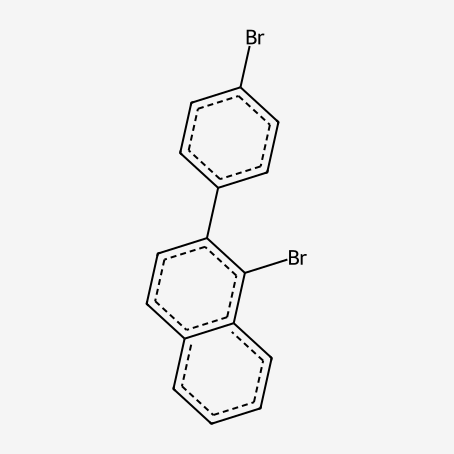 Brc1ccc(-c2ccc3ccccc3c2Br)cc1